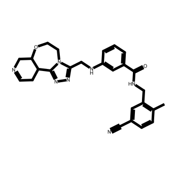 Cc1ccc(C#N)cc1CNC(=O)c1cccc(NCc2nnc3n2CCOC2CN=CCC32)c1